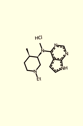 CCN1CC[C@@H](C)[C@@H](N(C)c2ncnc3[nH]ccc23)C1.Cl